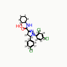 O=C(NC1CCCC[C@@H]1O)C1=NN(c2ccc(Cl)cc2Cl)C(c2ccc(Cl)cc2)C1